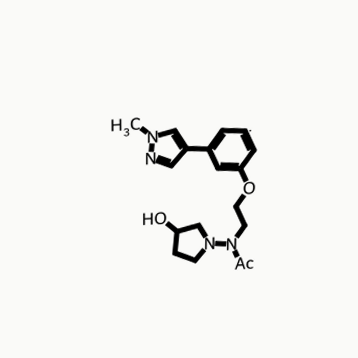 CC(=O)N(CCOc1c[c]cc(-c2cnn(C)c2)c1)N1CCC(O)C1